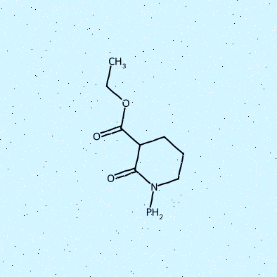 CCOC(=O)C1CCCN(P)C1=O